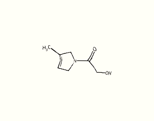 CC1=CCN(C(=O)CO)C1